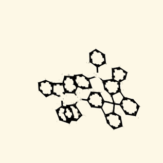 c1ccc(N(c2ccccc2)c2cc3c(c4ccccc24)-c2ccccc2C32c3ccccc3-c3cc(N(c4ccccc4)c4cccc5c6ccccc6n(-c6ccccc6)c45)ccc32)cc1